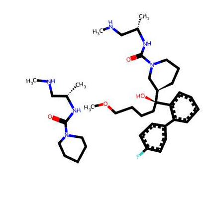 CNC[C@H](C)NC(=O)N1CCCCC1.CNC[C@H](C)NC(=O)N1CCC[C@@H]([C@@](O)(CCCCOC)c2ccccc2-c2ccc(F)cc2)C1